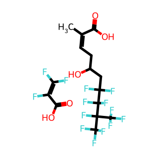 CC(=CCC(O)CC(F)(F)C(F)(F)C(F)(C(F)(F)F)C(F)(F)F)C(=O)O.O=C(O)C(F)=C(F)F